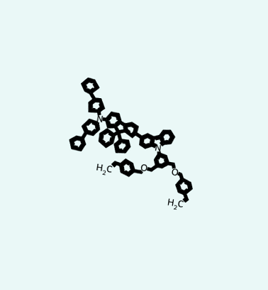 C=Cc1ccc(COCc2cc(COCc3ccc(C=C)cc3)cc(-n3c4ccccc4c4cc(-c5ccc6c(c5)C(c5ccccc5)(c5ccccc5)c5cc(N(c7ccc(-c8ccccc8)cc7)c7ccc(-c8ccccc8)cc7)ccc5-6)ccc43)c2)cc1